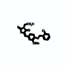 COc1cc(/C=C2/SC(=S)N(CC(=O)O)C2=O)ccc1OCc1ccccc1Cl